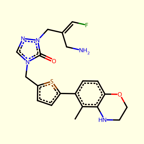 Cc1c(-c2ccc(Cn3cnn(C/C(=C/F)CN)c3=O)s2)ccc2c1NCCO2